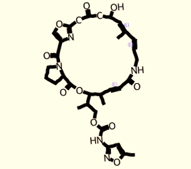 CC1=C\C(O)CC(=O)Cc2nc(co2)C(=O)N2CCCC2C(=O)OC(C(C)COC(=O)Nc2cc(C)on2)C(C)/C=C/C(=O)NC\C=C\1